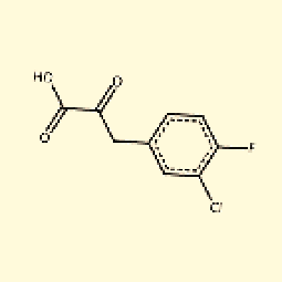 O=C(O)C(=O)Cc1ccc(F)c(Cl)c1